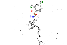 O=C(O)CCC/C=C\C1C2CCC(CC2)C1CNS(=O)(=O)c1ccc(Br)cc1Br